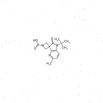 Cc1ccc2c(n1)C1(CN(C(=O)O)C1)C(=O)N2C(C)(C)C